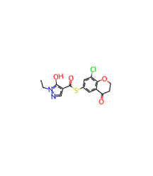 CCn1ncc(C(=O)Sc2cc(Cl)c3c(c2)C(=O)CCO3)c1O